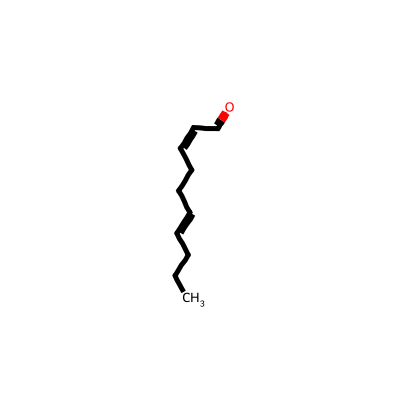 CCC/C=C/CC/C=C\C=O